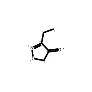 CCC1=NOCC1=O